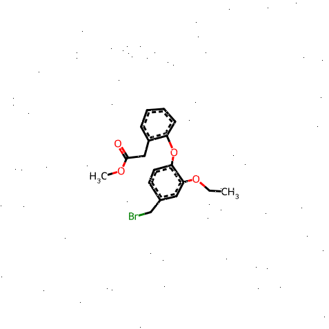 CCOc1cc(CBr)ccc1Oc1ccccc1CC(=O)OC